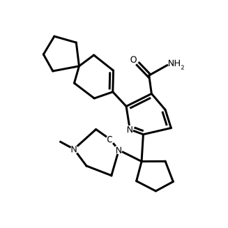 CN1CCN(C2(c3ccc(C(N)=O)c(C4=CCC5(CCCC5)CC4)n3)CCCC2)CC1